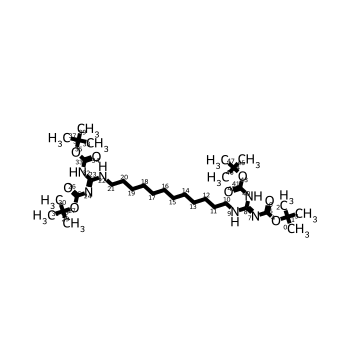 CC(C)(C)OC(=O)N=C(NCCCCCCCCCCCCNC(=NC(=O)OC(C)(C)C)NC(=O)OC(C)(C)C)NC(=O)OC(C)(C)C